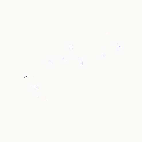 CNC(=O)c1ncc(Nc2ncc(F)c(N3C[C@@]4(CNC(=O)C5CC5)[C@@H](C)[C@@]4(C)C3)n2)cc1C